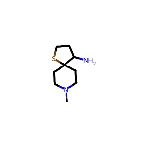 CN1CCC2(CC1)SCCC2N